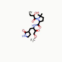 CC(C)CC(O)C(=O)N1C(C(=O)NC(CC2CCNC2=O)C(=O)COC(F)(F)F)CCC1(C)C